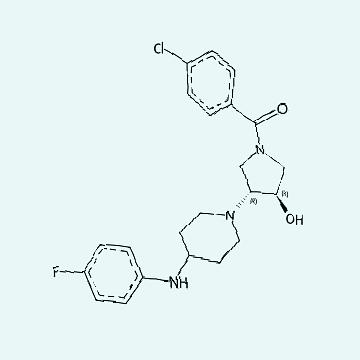 O=C(c1ccc(Cl)cc1)N1C[C@@H](O)[C@H](N2CCC(Nc3ccc(F)cc3)CC2)C1